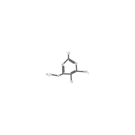 CSc1nc(Cl)nc(N)c1Cl